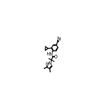 Cc1cn(C(C)(C)C(=O)Nc2ccc(C#N)cc2C2CC2)nc1C